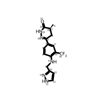 C[C@H]1CC(c2ccc(NCc3cc[nH]n3)c(C(F)(F)F)c2)=NNC1=O